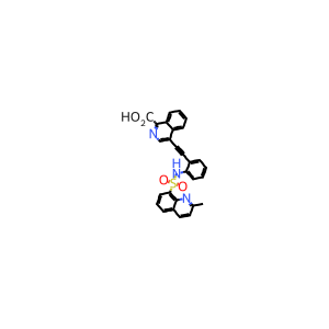 Cc1ccc2cccc(S(=O)(=O)Nc3ccccc3C#Cc3cnc(C(=O)O)c4ccccc34)c2n1